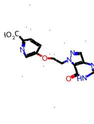 O=C(O)c1ccc(OCCn2ncc3nc(Cl)[nH]c(=O)c32)cn1